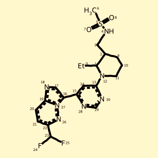 CCC1C(CNS(C)(=O)=O)CCCN1c1cc(-c2cnc3ccc(C(F)F)nn23)ncn1